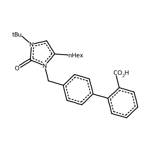 CCCCCCc1cn(C(C)(C)C)c(=O)n1Cc1ccc(-c2ccccc2C(=O)O)cc1